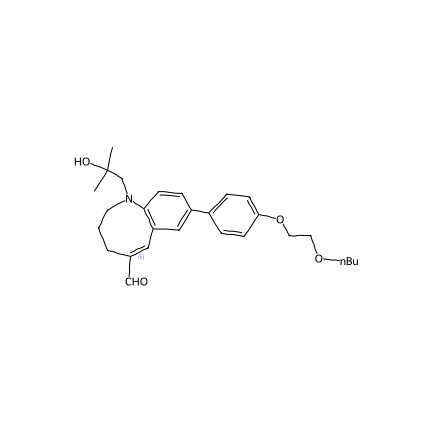 CCCCOCCOc1ccc(-c2ccc3c(c2)/C=C(/C=O)CCCN3CC(C)(C)O)cc1